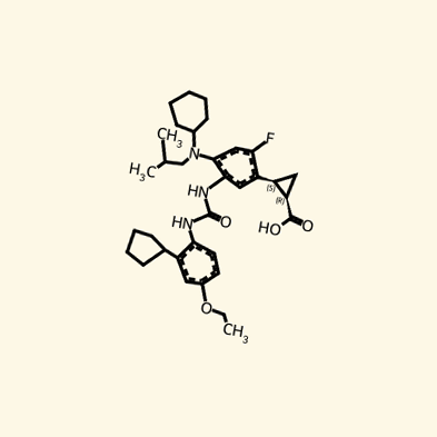 CCOc1ccc(NC(=O)Nc2cc([C@H]3C[C@H]3C(=O)O)c(F)cc2N(CC(C)C)C2CCCCC2)c(C2CCCC2)c1